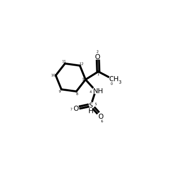 CC(=O)C1(N[SH](=O)=O)CCCCC1